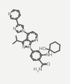 CC(C)c1nn(-c2ccc(C(N)=O)c(NC3(O)CCCCC3)c2)c2nccc(-n3cnc(-c4cccnc4)c3)c12